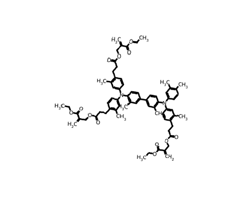 C=C(COC(=O)CCc1ccc(N(c2ccc(C)c(C)c2)c2ccc(-c3ccc(N(c4ccc(CCC(=O)OCC(=C)C(=O)OCC)c(C)c4)c4ccc(CCC(=O)OCC(=C)C(=O)OCC)c(C)c4)c(C)c3)cc2C)cc1C)C(=O)OCC